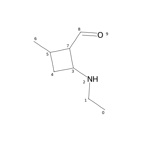 CCNC1CC(C)C1C=O